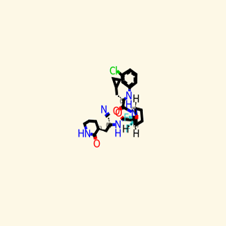 N#C[C@@H](C[C@@H]1CCCNC1=O)NC(=O)[C@@H]1[C@@H]2CC[C@@H](CC2(F)F)N1C(=O)[C@H](CC1CC1)Nc1cccc(Cl)c1